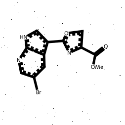 COC(=O)c1coc(-c2c[nH]c3ncc(Br)cc23)n1